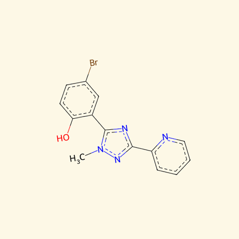 Cn1nc(-c2ccccn2)nc1-c1cc(Br)ccc1O